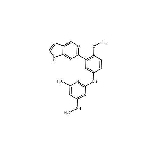 CNc1cc(C)nc(Nc2ccc(OC)c(-c3cc4[nH]ccc4cn3)c2)n1